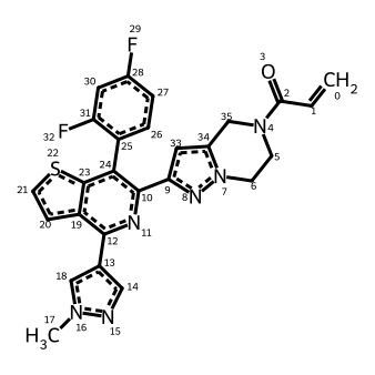 C=CC(=O)N1CCn2nc(-c3nc(-c4cnn(C)c4)c4ccsc4c3-c3ccc(F)cc3F)cc2C1